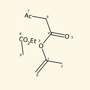 C=C(C)OC(=O)CC(C)=O.CCOC(C)=O